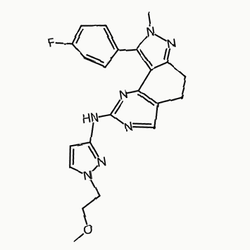 COCCn1ccc(Nc2ncc3c(n2)-c2c(nn(C)c2-c2ccc(F)cc2)CC3)n1